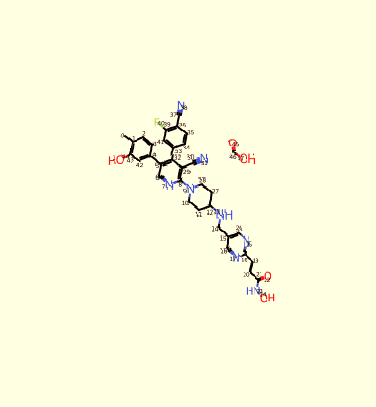 Cc1ccc(-c2cnc(N3CCC(NCc4cnc(/C=C/C(=O)NO)nc4)CC3)c(C#N)c2-c2ccc(C#N)c(F)c2)cc1O.O=CO